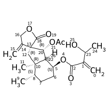 C=C(C(=O)O[C@H]1CC[C@H](C)[C@@]2(C)C[C@@]3(C(=C)COC3=O)[C@H](OC(C)=O)[C@@H]12)C(C)O